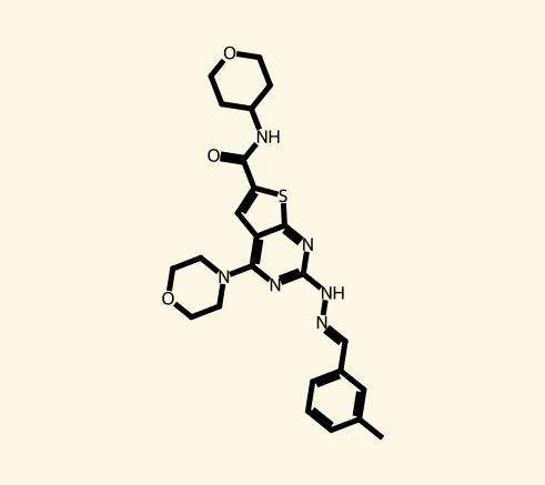 Cc1cccc(/C=N/Nc2nc(N3CCOCC3)c3cc(C(=O)NC4CCOCC4)sc3n2)c1